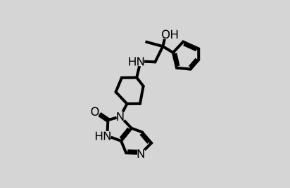 CC(O)(CNC1CCC(n2c(=O)[nH]c3cnccc32)CC1)c1ccccc1